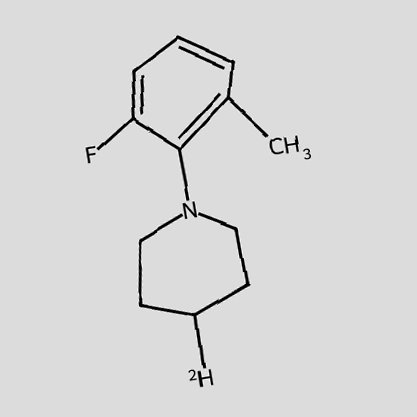 [2H]C1CCN(c2c(C)cccc2F)CC1